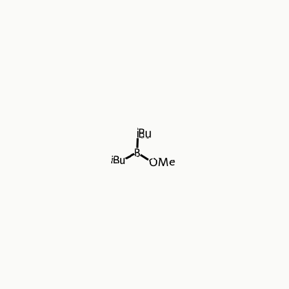 CCC(C)B(OC)C(C)CC